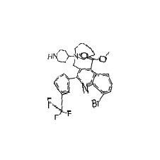 COC(=O)c1c(C[N+]2(C3CCNCC3)CCCCC2)c(-c2cccc(C(F)(F)F)c2)nc2c(Br)cccc12